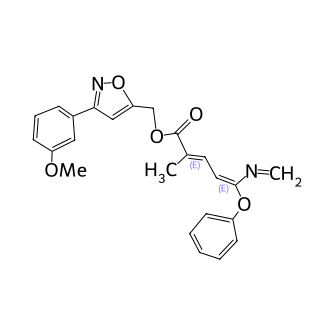 C=N/C(=C\C=C(/C)C(=O)OCc1cc(-c2cccc(OC)c2)no1)Oc1ccccc1